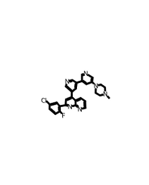 CN1CCN(c2cncc(-c3cncc(-c4cc(-c5cc(Cl)ccc5F)nc5ncccc45)c3)c2)CC1